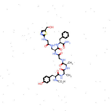 C[C@H](NC(=O)[C@H](C)NC(=O)[C@H](Cc1ccc(O)cc1)NC(=O)O)C(=O)NCC(=O)N[C@@H](CNC(=O)CNc1ncc(CO)s1)C(=O)N[C@@H](Cc1ccccc1)C(N)=O